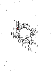 CO[C@H]1C[C@H](C)CC2=C(NC(C)C)C(=O)C=C(NC(=O)C(C)=CCC[C@H](OC)[C@@H](OC(N)=O)C(C)=C[C@H](C)[C@H]1O)C2=O